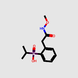 CONC(=O)Cc1ccccc1P(=O)(O)C(C)C